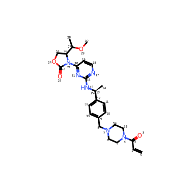 C=CC(=O)N1CCN(Cc2ccc([C@H](C)Nc3nccc(N4C(=O)OCC4C(C)OC)n3)cc2)CC1